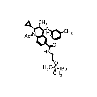 CC(=O)N1c2ccc(C(=O)NCCO[Si](C)(C)C(C)(C)C)cc2[C@H](Nc2cc(C)ccn2)[C@@H](C)[C@@H]1C1CC1